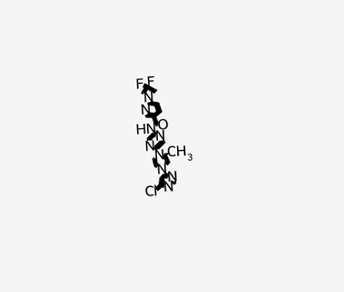 C[C@H]1CN(c2cc(Cl)ncn2)CCN1c1cnc(NC(=O)c2ccc(N3CC(F)(F)C3)nc2)cn1